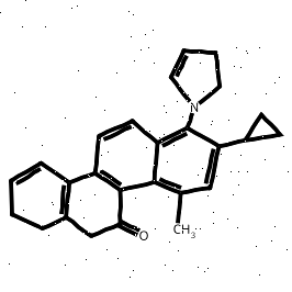 Cc1cc(C2CC2)c(N2C=CCC2)c2ccc3c(c12)C(=O)CC1=C3C=CCC1